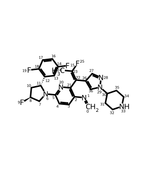 C=Nc1ccc(N2C[C@@H](F)C[C@@H]2c2cc(F)ccc2F)nc1/C(=C(\C)F)c1cnn(C2CCNCC2)c1